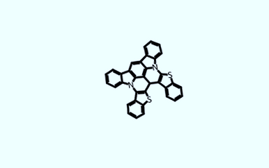 c1ccc2c3c(sc2c1)-n1c2ccccc2c2cc4c5ccccc5n5c4c(c21)C3c1sc2ccccc2c1-5